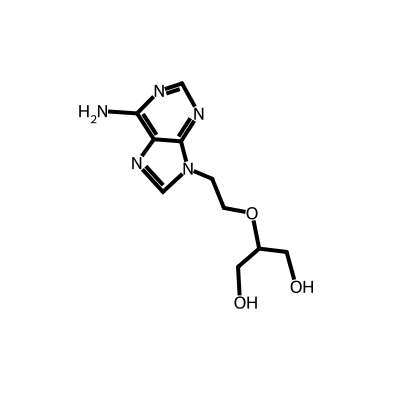 Nc1ncnc2c1ncn2CCOC(CO)CO